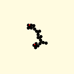 c1ccc(-c2ccc(N(c3ccc(-c4ccc5c(c4)C(c4ccccc4)(c4ccccc4)c4ccccc4-5)cc3)c3ccc(-n4c5ccccc5c5c(-c6ccc(-n7c8ccccc8c8cc(-c9ccc(N(c%10ccccc%10)c%10ccc%11c(c%10)C(c%10ccccc%10)(c%10ccccc%10)c%10ccccc%10-%11)cc9)ccc87)cc6)cccc54)cc3)cc2)cc1